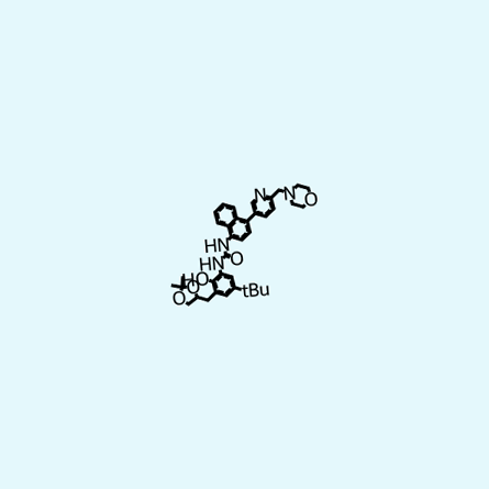 CC1(C)OCC(Cc2cc(C(C)(C)C)cc(NC(=O)Nc3ccc(-c4ccc(CN5CCOCC5)nc4)c4ccccc34)c2O)O1